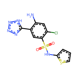 Nc1cc(Cl)c(S(=O)(=O)Nc2cccs2)cc1-c1nnn[nH]1